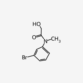 CN(C(=O)CO)c1cccc(Br)c1